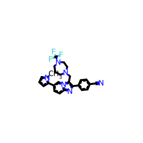 Cn1cccc1-c1ccc2nc(-c3ccc(C#N)cc3)c(CN3CCCN(C(F)(F)F)CC3)n2c1